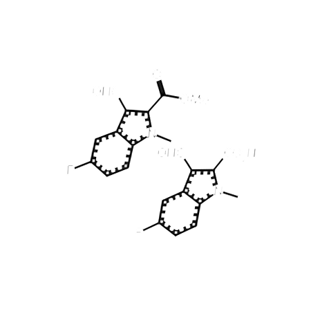 COC(=O)c1c(C=O)c2cc(F)ccc2n1C.Cn1c(C(=O)O)c(C=O)c2cc(F)ccc21